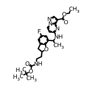 CCOC(=O)c1cnn2ccc(NC(C)c3cc(F)cc4c3OC(CCNC(=O)OC(C)(C)C)C4)nc12